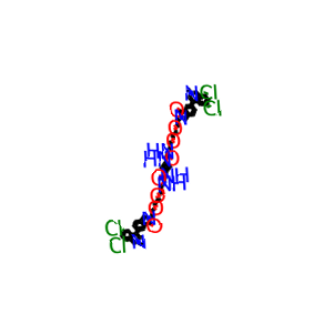 CN1Cc2c(Cl)cc(Cl)cc2C(c2ccc3c(c2)C(=O)N(CCOCCOCCNC(=O)N[C@H]2C[C@H](NC(=O)NCCOCCOCCN4Cc5ccc(C6CN(C)Cc7c(Cl)cc(Cl)cc76)cc5C4=O)C2)C3)C1